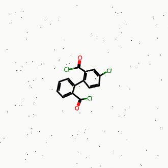 O=C(Cl)c1ccccc1-c1ccc(Cl)cc1C(=O)Cl